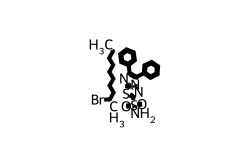 CCCCCCCCC(C)Br.NS(=O)(=O)c1nn2c(-c3ccccc3)c(-c3ccccc3)nc2s1